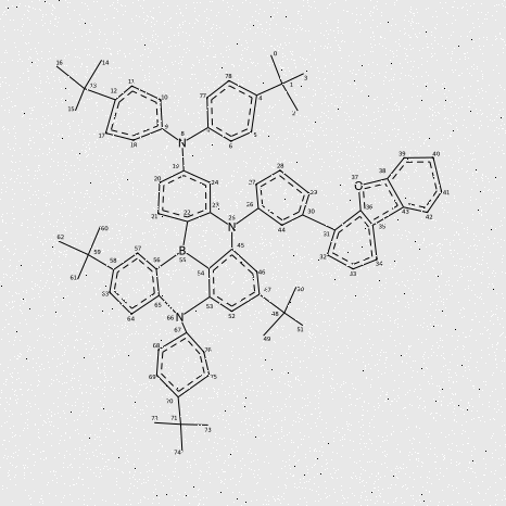 CC(C)(C)c1ccc(N(c2ccc(C(C)(C)C)cc2)c2ccc3c(c2)N(c2cccc(-c4cccc5c4oc4ccccc45)c2)c2cc(C(C)(C)C)cc4c2B3c2cc(C(C)(C)C)ccc2N4c2ccc(C(C)(C)C)cc2)cc1